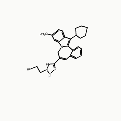 O=C(O)c1ccc2c(C3CCCCC3)c3n(c2c1)CC(C1=NNN(CCO)N1)=Cc1ccccc1-3